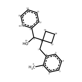 Cc1ccccc1CC1(C(O)c2ccccn2)CCC1